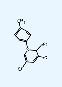 CCCC1C(CC)=CC(CC)=CN1c1ccc(C)cc1